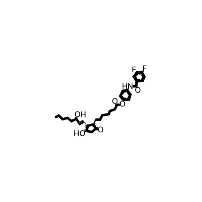 CCCCCC(O)/C=C/[C@H]1[C@H](O)CC(=O)[C@@H]1CCCCCCC(=O)Oc1ccc(NC(=O)c2ccc(F)c(F)c2)cc1